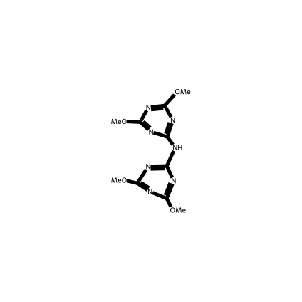 COc1nc(Nc2nc(OC)nc(OC)n2)nc(OC)n1